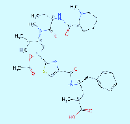 CC[C@H](NC(=O)[C@H]1CCCCN1C)C(=O)N(C)[C@H](C[C@@H](OC(C)=O)c1nc(C(=O)N[C@@H](Cc2ccccc2)C[C@H](C)C(=O)O)cs1)C(C)C